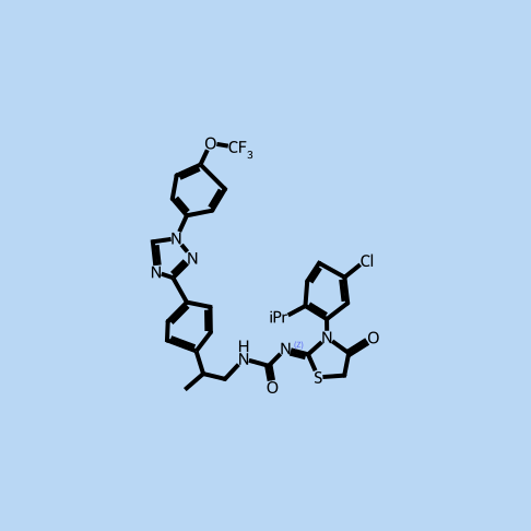 CC(C)c1ccc(Cl)cc1N1C(=O)CS/C1=N\C(=O)NCC(C)c1ccc(-c2ncn(-c3ccc(OC(F)(F)F)cc3)n2)cc1